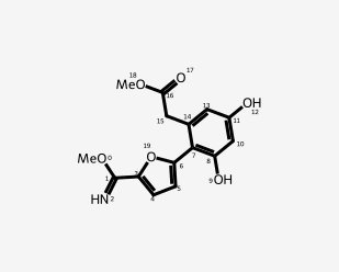 COC(=N)c1ccc(-c2c(O)cc(O)cc2CC(=O)OC)o1